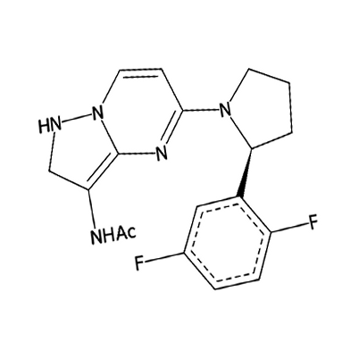 CC(=O)NC1=C2N=C(N3CCC[C@H]3c3cc(F)ccc3F)C=CN2NC1